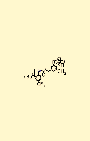 CCCCNc1nc(C(F)(F)F)ccc1/C=C\C(=O)NCc1cc(C)c(NS(C)(=O)=O)c(F)c1